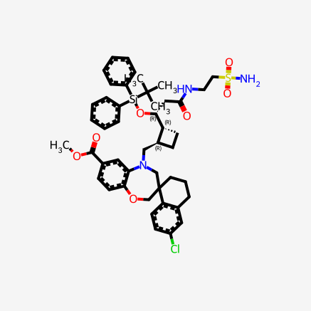 COC(=O)c1ccc2c(c1)N(C[C@@H]1CC[C@H]1[C@@H](CC(=O)NCCS(N)(=O)=O)O[Si](c1ccccc1)(c1ccccc1)C(C)(C)C)CC1(CCCc3cc(Cl)ccc31)CO2